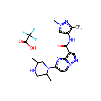 CC1CN(c2ccn3ncc(C(=O)Nc4cn(C)nc4C(F)(F)F)c3n2)C(C)CN1.O=C(O)C(F)(F)F